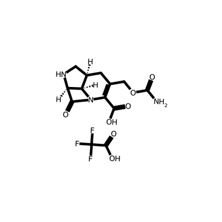 NC(=O)OCC1=C(C(=O)O)N2C(=O)[C@H]3NC[C@@H](C1)[C@H]32.O=C(O)C(F)(F)F